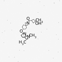 Cc1cn(C)c2nc(OC3CCC4(CC3)CN(C(=O)C3CC(C)(O)C3)C4)ccc12